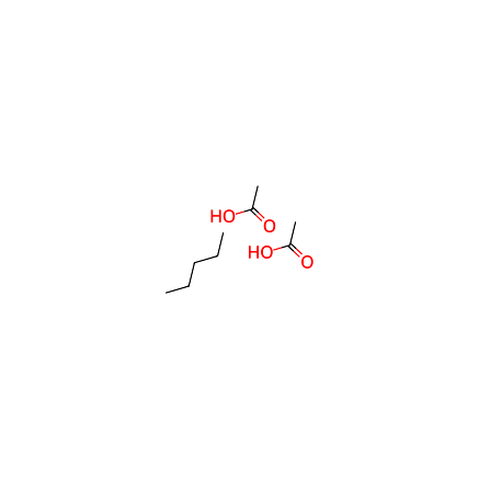 CC(=O)O.CC(=O)O.CCCCC